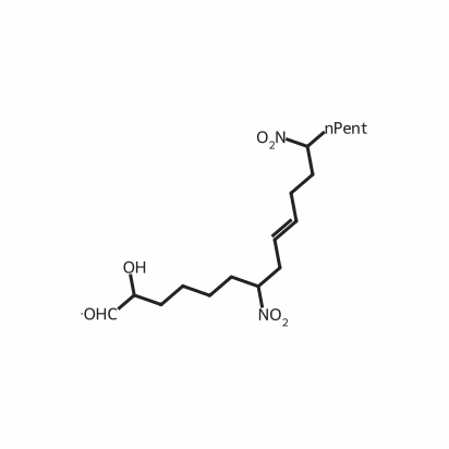 CCCCCC(CCC=CCC(CCCCC(O)[C]=O)[N+](=O)[O-])[N+](=O)[O-]